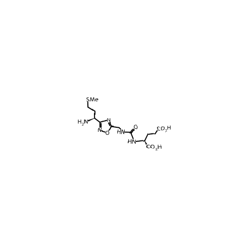 CSCC[C@H](N)c1noc(CNC(=O)N[C@@H](CCC(=O)O)C(=O)O)n1